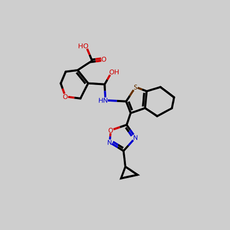 O=C(O)C1=C(C(O)Nc2sc3c(c2-c2nc(C4CC4)no2)CCCC3)COCC1